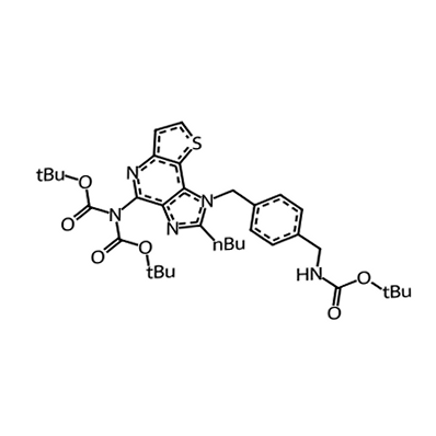 CCCCc1nc2c(N(C(=O)OC(C)(C)C)C(=O)OC(C)(C)C)nc3ccsc3c2n1Cc1ccc(CNC(=O)OC(C)(C)C)cc1